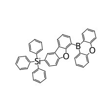 c1ccc([Si](c2ccccc2)(c2ccccc2)c2ccc3oc4c(B5c6ccccc6Oc6ccccc65)cccc4c3c2)cc1